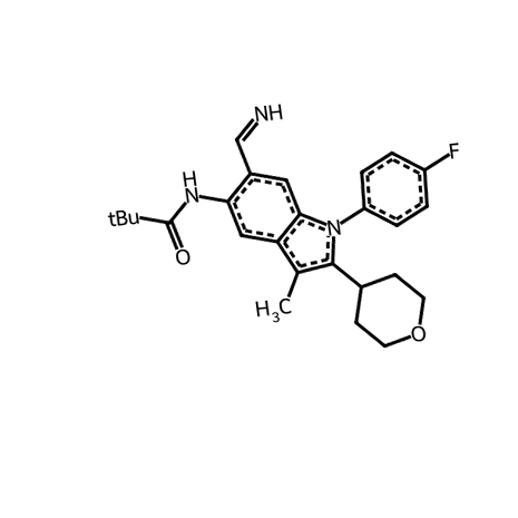 Cc1c(C2CCOCC2)n(-c2ccc(F)cc2)c2cc(C=N)c(NC(=O)C(C)(C)C)cc12